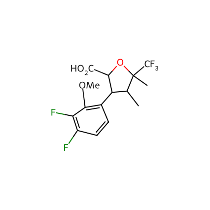 COc1c(C2C(C(=O)O)OC(C)(C(F)(F)F)C2C)ccc(F)c1F